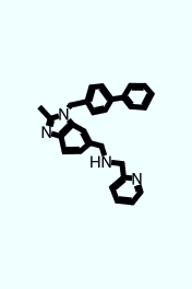 Cc1nc2ccc(CNCc3ccccn3)cc2n1Cc1ccc(-c2ccccc2)cc1